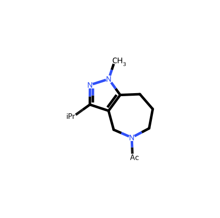 CC(=O)N1CCCc2c(c(C(C)C)nn2C)C1